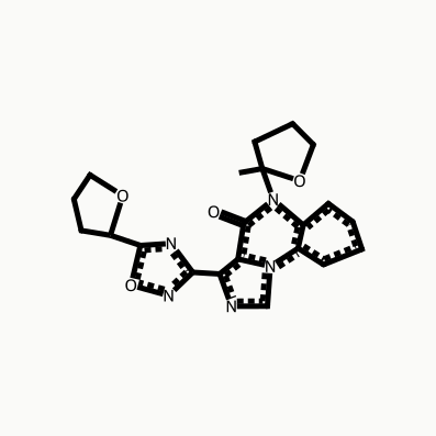 CC1(n2c(=O)c3c(-c4noc(C5CCCO5)n4)ncn3c3ccccc32)CCCO1